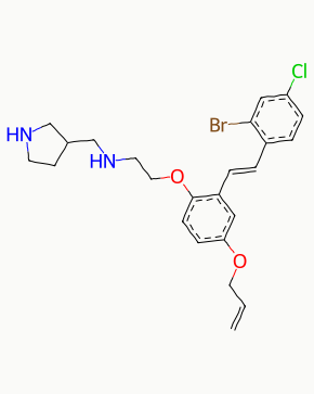 C=CCOc1ccc(OCCNCC2CCNC2)c(/C=C/c2ccc(Cl)cc2Br)c1